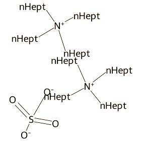 CCCCCCC[N+](CCCCCCC)(CCCCCCC)CCCCCCC.CCCCCCC[N+](CCCCCCC)(CCCCCCC)CCCCCCC.O=S(=O)([O-])[O-]